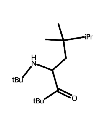 CC(C)C(C)(C)CC(NC(C)(C)C)C(=O)C(C)(C)C